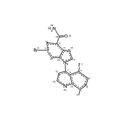 Cc1ccc(F)c2c(-n3cnc4c(C(N)=O)cc(Br)cc43)ccnc12